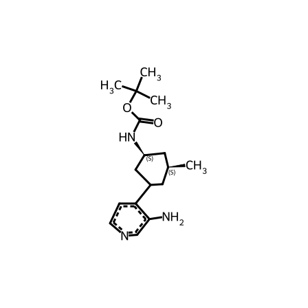 C[C@H]1CC(c2ccncc2N)C[C@@H](NC(=O)OC(C)(C)C)C1